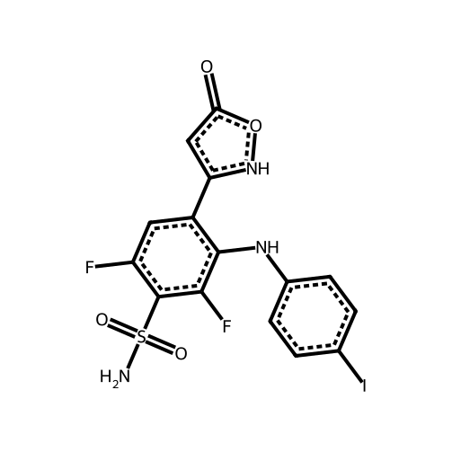 NS(=O)(=O)c1c(F)cc(-c2cc(=O)o[nH]2)c(Nc2ccc(I)cc2)c1F